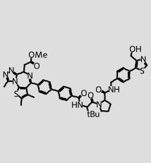 COC(=O)CC1N=C(c2ccc(-c3ccc(C(=O)NC(C(=O)N4CCCC4C(=O)NCc4ccc(-c5scnc5CO)cc4)C(C)(C)C)cc3)cc2)c2c(sc(C)c2C)-n2c(C)nnc21